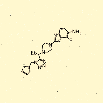 CCC(c1nnnn1Cc1cccs1)N1CCN(c2nc3ccc(N)c(F)c3s2)CC1